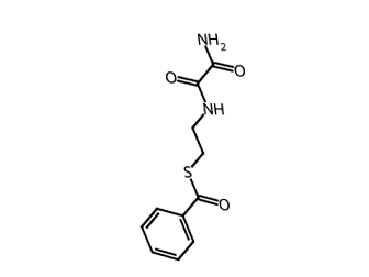 NC(=O)C(=O)NCCSC(=O)c1ccccc1